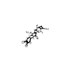 Cn1c(NC2CC(O)C2)nc2c1c(=O)n(Cc1ccc(Cl)c(Cl)c1)c(=O)n2C